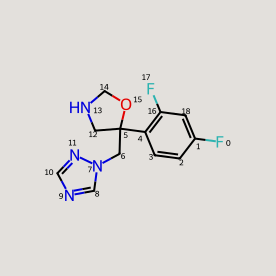 Fc1ccc(C2(Cn3cncn3)CNCO2)c(F)c1